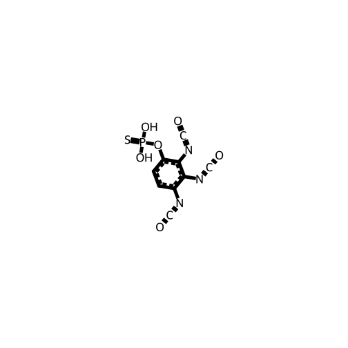 O=C=Nc1ccc(OP(O)(O)=S)c(N=C=O)c1N=C=O